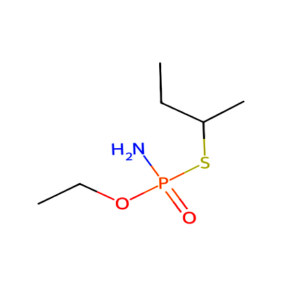 CCOP(N)(=O)SC(C)CC